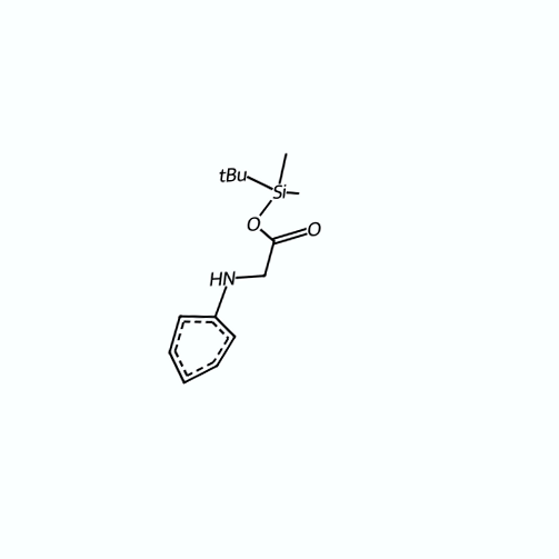 CC(C)(C)[Si](C)(C)OC(=O)CNc1ccccc1